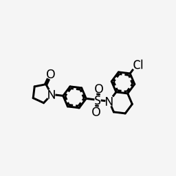 O=C1CCCN1c1ccc(S(=O)(=O)N2CCCc3cc(Cl)ccc32)cc1